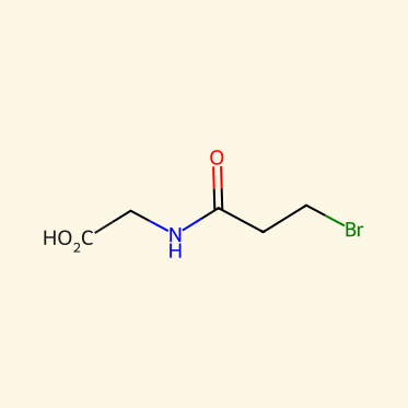 O=C(O)CNC(=O)CCBr